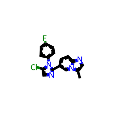 Cc1cnc2ccc(-c3ncc(Cl)n3-c3ccc(F)cc3)cn12